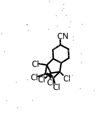 N#CC1CCC2C(C1)C1(Cl)C(Cl)=C(Cl)C2(Cl)C1(Cl)Cl